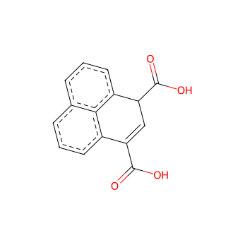 O=C(O)C1=CC(C(=O)O)c2cccc3cccc1c23